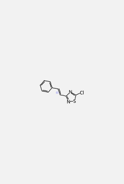 Clc1nc(/C=C/c2ccccc2)ns1